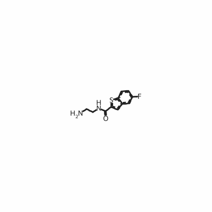 NCCNC(=O)c1cc2cc(F)ccc2s1